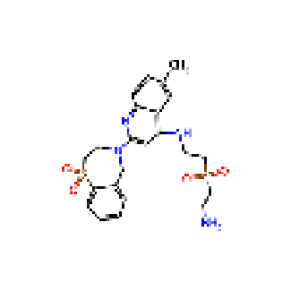 Cc1ccc2nc(N3CCS(=O)(=O)c4ccccc4C3)cc(NCCS(=O)(=O)CCN)c2c1